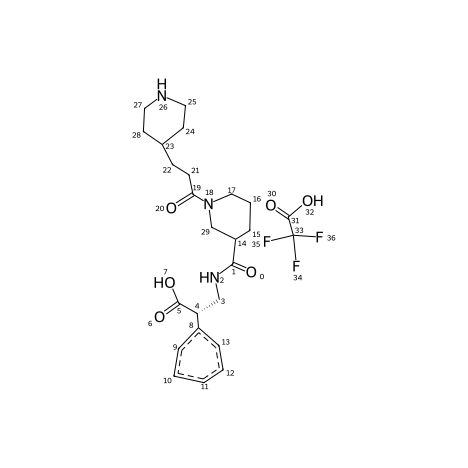 O=C(NC[C@@H](C(=O)O)c1ccccc1)C1CCCN(C(=O)CCC2CCNCC2)C1.O=C(O)C(F)(F)F